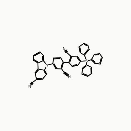 N#Cc1ccc2c(c1)c1ccccc1n2-c1ccc(-c2ccc(S(c3ccccc3)(c3ccccc3)c3ccccc3)cc2C#N)c(C#N)c1